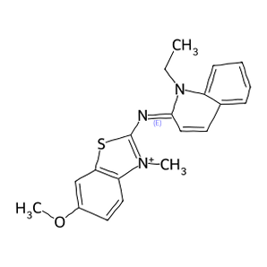 CCn1/c(=N/c2sc3cc(OC)ccc3[n+]2C)ccc2ccccc21